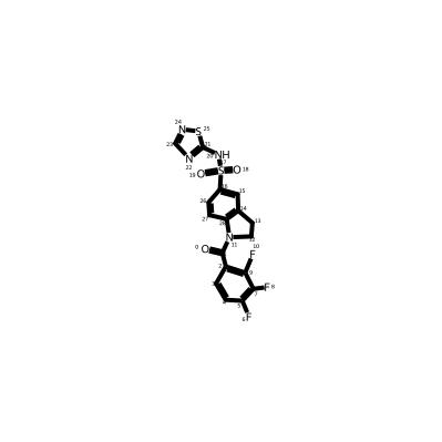 O=C(c1ccc(F)c(F)c1F)N1CCc2cc(S(=O)(=O)Nc3ncns3)ccc21